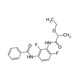 CCOC(C)C(=O)Nc1c(F)ccc(NC(=O)c2ccccc2)c1F